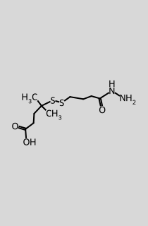 CC(C)(CCC(=O)O)SSCCCC(=O)NN